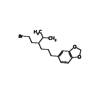 CC(C)C(CCBr)CCCc1ccc2c(c1)OCO2